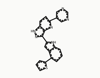 c1csc(-c2cccc3[nH]c(-c4n[nH]c5ccc(-c6cncnc6)nc45)cc23)c1